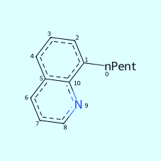 CCCCCc1cccc2cccnc12